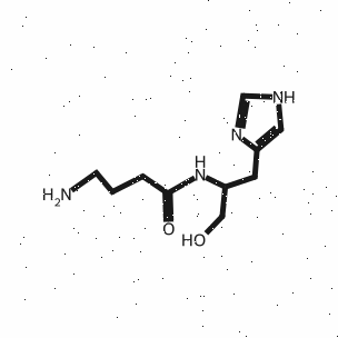 NCCCC(=O)NC(CO)Cc1c[nH]cn1